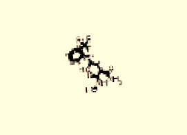 NC(=O)C(CC(O)Sc1ccccc1C(F)(F)F)C(=O)NO